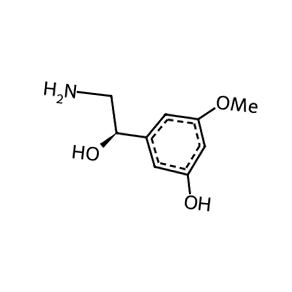 COc1cc(O)cc([C@@H](O)CN)c1